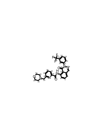 O=C(Nc1cccc2cnn(-c3cccc(C(F)(F)F)c3)c(=O)c12)c1cccc(CN2CCOCC2)n1